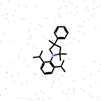 CC(C)c1cccc(C(C)C)c1N1CC(C)(c2ccccc2)CC1(C)C